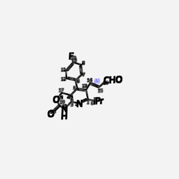 CC(C)c1nc2c(c(-c3ccc(F)cc3)c1/C=C/C=O)COC(=O)N2